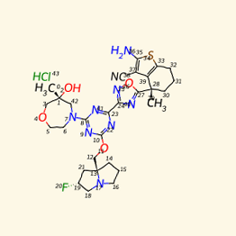 C[C@]1(O)COCCN(c2nc(OC[C@@]34CCCN3C[C@H](F)C4)nc(-c3noc([C@@]4(C)CCCc5sc(N)c(C#N)c54)n3)n2)C1.Cl